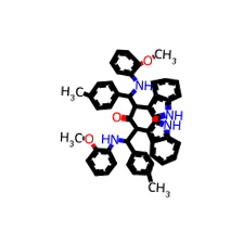 COc1ccccc1NC(c1ccc(C)cc1)C(C(=O)C(c1c[nH]c2ccccc12)C(Nc1ccccc1OC)c1ccc(C)cc1)c1c[nH]c2ccccc12